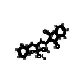 CC(C)(C)[C]([CH]CN1C(=O)c2ccccc2C1=O)Cc1ccccc1